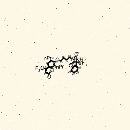 CCCc1cc2c(C(F)(F)F)cc(=O)oc2c(CCC)c1OCCCCN1C(=O)NC(c2ccccc2)(C(F)(F)F)C1=O